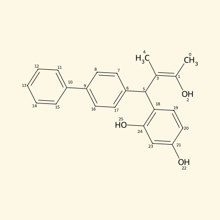 C/C(O)=C(\C)C(c1ccc(-c2ccccc2)cc1)c1ccc(O)cc1O